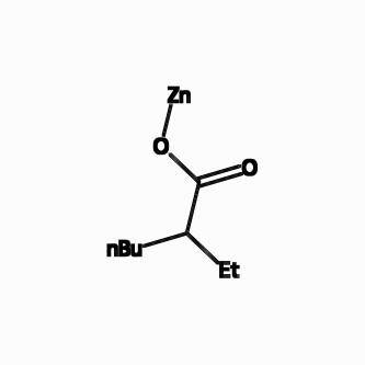 CCCCC(CC)C(=O)[O][Zn]